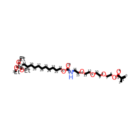 C=C(C)C(=O)OCCOCCOCCOCCNC(=O)OCCCCCCCCCCC[Si](OCC)(OCC)OCC